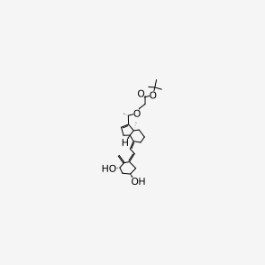 C=C1C(=CC=C2CCC[C@]3(C)C([C@H](C)OCCC(=O)OC(C)(C)C)=CC[C@@H]23)C[C@@H](O)C[C@@H]1O